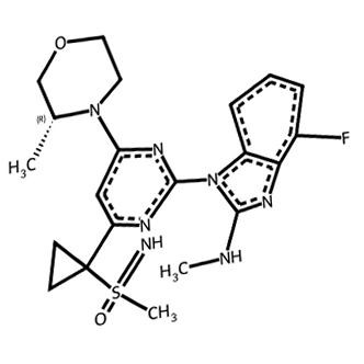 CNc1nc2c(F)cccc2n1-c1nc(N2CCOC[C@H]2C)cc(C2(S(C)(=N)=O)CC2)n1